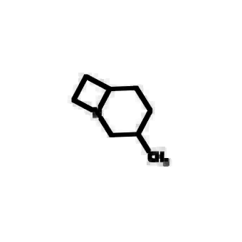 CC1CCC2CCN2C1